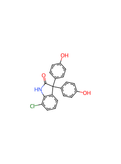 O=C1Nc2c(Cl)cccc2C1(c1ccc(O)cc1)c1ccc(O)cc1